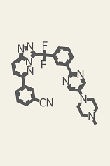 CN1CCN(c2cnc(-c3cccc(C(F)(F)c4nnc5ccc(-c6cccc(C#N)c6)nn45)c3)nc2)CC1